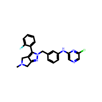 CN1Cc2nn(Cc3cccc(Nc4cncc(Cl)n4)c3)c(-c3ccccc3F)c2C1